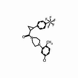 Cc1ccc(Cl)cc1N1CCN(C(=O)C2CC2c2ccc(S(F)(F)(F)(F)F)cc2)CC1